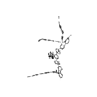 C#CC#CC#CC#CC#CC#Cn1c2cc(C)ccc2c2ccc(-c3ccc(-c4ccc(-c5ccc(-c6ccc7c(c6)C(C#CC#CC#CC#CC#C)(C#CC#CC#CC#CC#C)c6cc(C)ccc6-7)s5)c5nsnc45)s3)cc21